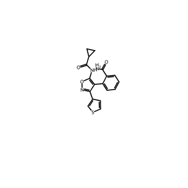 NC(=O)c1ccccc1-c1c(-c2ccsc2)noc1NC(=O)C1CC1